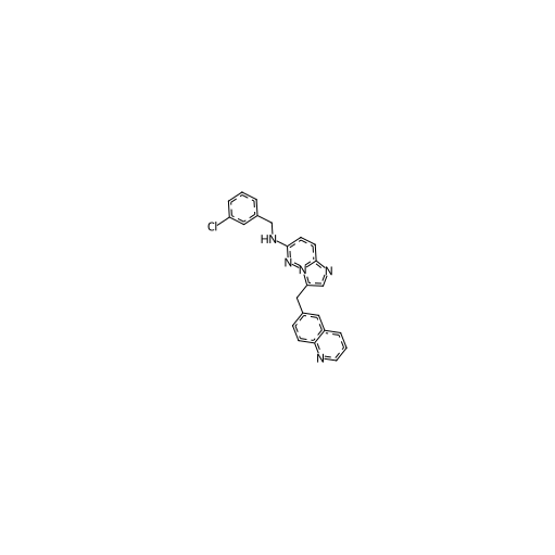 Clc1cccc(CNc2ccc3ncc(Cc4ccc5ncccc5c4)n3n2)c1